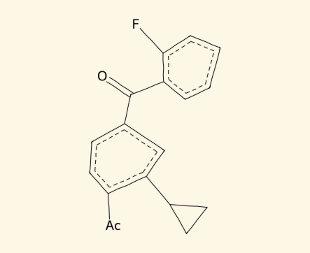 CC(=O)c1ccc(C(=O)c2ccccc2F)cc1C1CC1